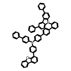 c1ccc(-c2ccc(N(c3ccc(-c4ccc(-c5ccccc5-n5c6ccc(-c7ccccc7)cc6c6cc(-c7ccccc7)ccc65)cc4)cc3)c3ccc(-c4cccc5c4oc4ccccc45)cc3)cc2)cc1